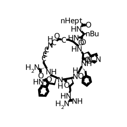 CCCCCCCC(=O)N[C@@H](CCCC)C(=O)N[C@H]1CCC(=O)CNCCCC[C@@H](C(N)=O)NC(=O)[C@H](Cc2c[nH]c3ccccc23)NC(=O)[C@H](CCCNC(=N)N)NC(=O)[C@@H](Cc2ccccc2)NC(=O)[C@H](Cc2cnc[nH]2)NC1=O